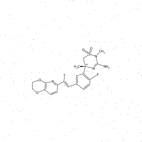 CN1C(N)=N[C@](C)(c2cc(/C=C(\F)c3ccc4c(n3)OCCO4)ccc2F)CS1(=O)=O